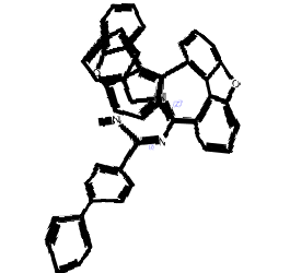 C=N/C(=N\C(=N/Cc1ccccc1)c1cccc2oc3cccc(-c4cccc5oc6ccccc6c45)c3c12)c1ccc(-c2ccccc2)cc1